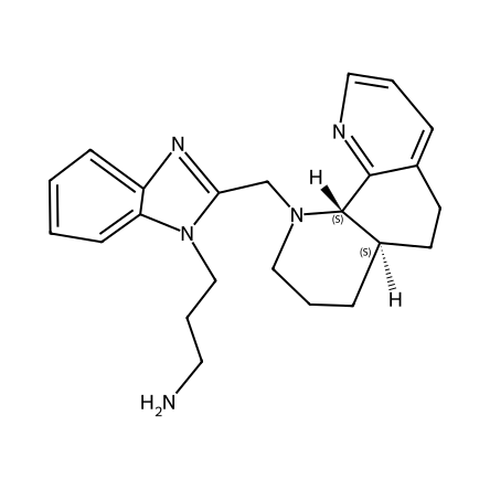 NCCCn1c(CN2CCC[C@@H]3CCc4cccnc4[C@H]32)nc2ccccc21